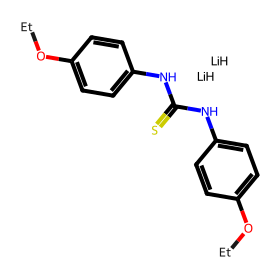 CCOc1ccc(NC(=S)Nc2ccc(OCC)cc2)cc1.[LiH].[LiH]